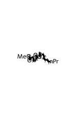 CCC/C=C/C=C\C=C/B(C)OC(=O)CN(C)CC(=O)OC